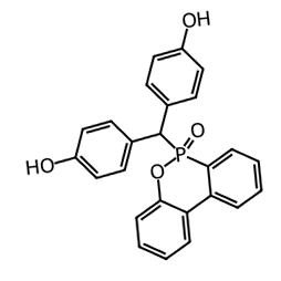 O=P1(C(c2ccc(O)cc2)c2ccc(O)cc2)Oc2ccccc2-c2ccccc21